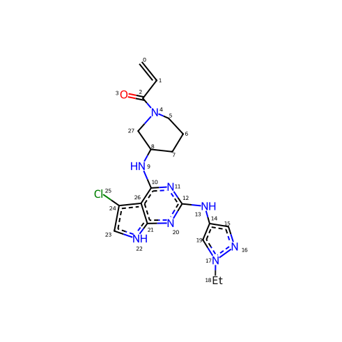 C=CC(=O)N1CCCC(Nc2nc(Nc3cnn(CC)c3)nc3[nH]cc(Cl)c23)C1